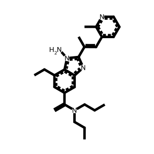 C=C(c1cc(CC)c2c(c1)nc(/C(C)=C/c1cccnc1C)n2N)N(CCC)CCC